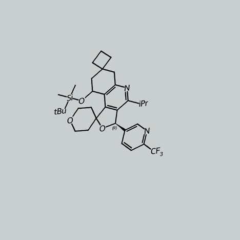 CC(C)c1nc2c(c3c1[C@@H](c1ccc(C(F)(F)F)nc1)OC31CCOCC1)C(O[Si](C)(C)C(C)(C)C)CC1(CCC1)C2